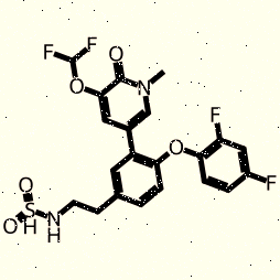 Cn1cc(-c2cc(CCN[SH](=O)=O)ccc2Oc2ccc(F)cc2F)cc(OC(F)F)c1=O